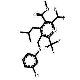 COC(=O)c1c(C(F)F)nc(C(F)(F)F)c(CSc2cccc(Cl)c2)c1CC(C)C